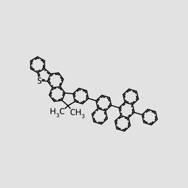 CC1(C)c2cc(-c3ccc(-c4c5ccccc5c(-c5ccccc5)c5ccccc45)c4ccccc34)ccc2-c2c1ccc1c2ccc2c3ccccc3sc12